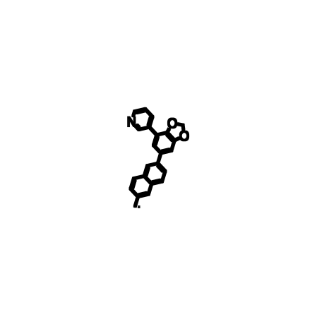 [CH2]c1ccc2cc(-c3cc4c(c(-c5cccnc5)c3)OCO4)ccc2c1